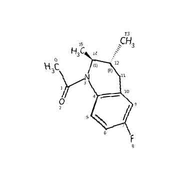 CC(=O)N1c2ccc(F)cc2C[C@@H](C)[C@@H]1C